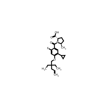 C=CCC(CC)(CC)COc1cc(F)c(C(=O)N2[C@H](C)CC[C@H]2C(=O)O)cc1C1CC1